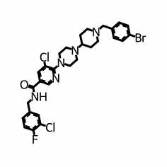 O=C(NCc1ccc(F)c(Cl)c1)c1cnc(N2CCN(C3CCN(Cc4ccc(Br)cc4)CC3)CC2)c(Cl)c1